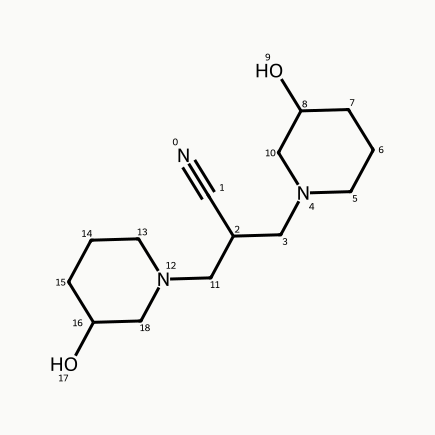 N#CC(CN1CCCC(O)C1)CN1CCCC(O)C1